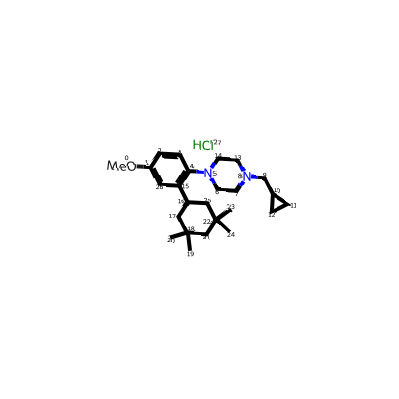 COc1ccc(N2CCN(CC3CC3)CC2)c(C2CC(C)(C)CC(C)(C)C2)c1.Cl